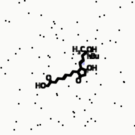 CCCC[C@](C)(O)C/C=C/C1C(CCC=CCCC(=O)CO)C(=O)C[C@H]1O